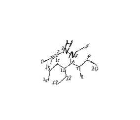 CC#CNN(C)C(C(C)CC)C(CC)CCC